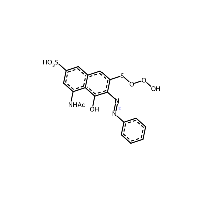 CC(=O)Nc1cc(S(=O)(=O)O)cc2cc(SOOO)c(/N=N/c3ccccc3)c(O)c12